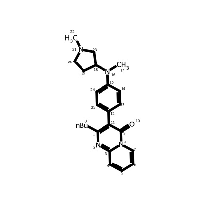 CCCCc1nc2ccccn2c(=O)c1-c1ccc(N(C)C2CCN(C)C2)cc1